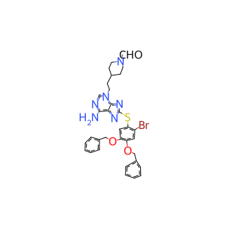 Nc1ncn(CCC2CCN(C=O)CC2)c2nc(Sc3cc(OCc4ccccc4)c(OCc4ccccc4)cc3Br)nc1-2